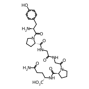 NC(=O)CC[C@H](NC(=O)[C@@H]1CCCN1C(=O)CNC(=O)CNC(=O)[C@@H]1CCCN1C(=O)[C@@H](N)Cc1ccc(O)cc1)C(=O)O